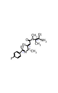 CC/C(=C\C(=O)N(C)/C(C)=C(/N)CC)[C@H](C)/N=C(\CC)c1ccc(F)cc1